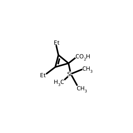 CCC1=C(CC)C1(C(=O)O)[Si](C)(C)C